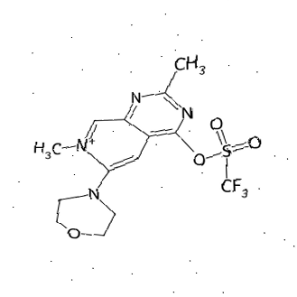 Cc1nc(OS(=O)(=O)C(F)(F)F)c2cc(N3CCOCC3)[n+](C)cc2n1